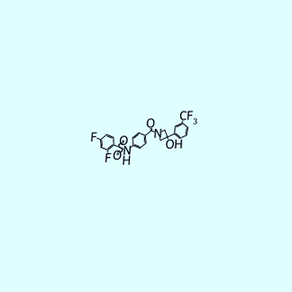 O=C(c1ccc(NS(=O)(=O)c2ccc(F)cc2F)cc1)N1CC(O)(c2cccc(C(F)(F)F)c2)C1